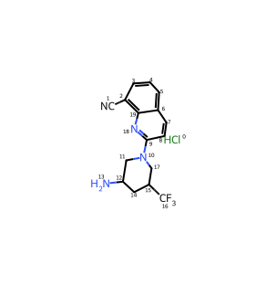 Cl.N#Cc1cccc2ccc(N3CC(N)CC(C(F)(F)F)C3)nc12